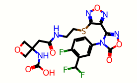 O=C(O)NC1(CC(=O)NCCSc2nonc2-c2noc(=O)n2-c2ccc(F)c(C(F)F)c2)COC1